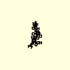 CC(C)(C(=O)NCc1ccc(Cl)c(C(=O)Nc2ccc(OCC(F)F)c(C(=O)O)c2)c1Cl)C(F)(F)F